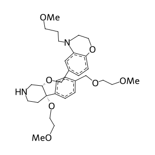 COCCCN1CCOc2ccc(CO[C@H]3CNCC[C@]3(OCCOC)c3ccc(COCCOC)cc3)cc21